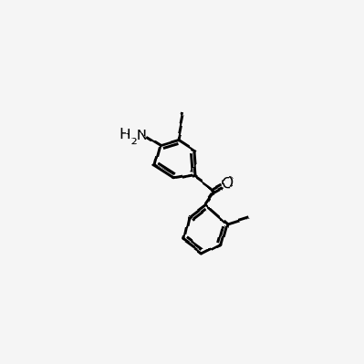 Cc1cc(C(=O)c2ccccc2C)ccc1N